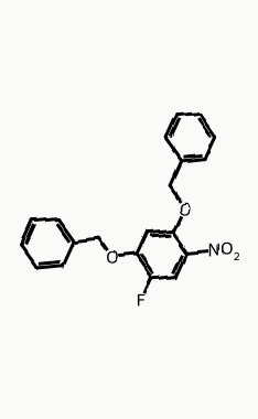 O=[N+]([O-])c1cc(F)c(OCc2ccccc2)cc1OCc1ccccc1